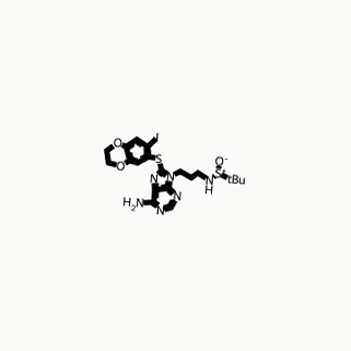 CC(C)(C)[S+]([O-])NCCCn1c(Sc2cc3c(cc2I)OCCO3)nc2c(N)ncnc21